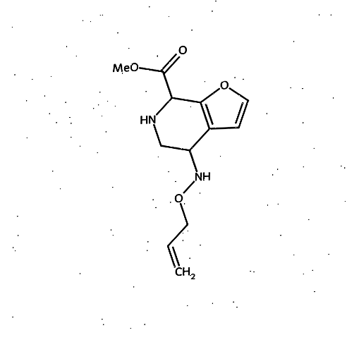 C=CCONC1CNC(C(=O)OC)c2occc21